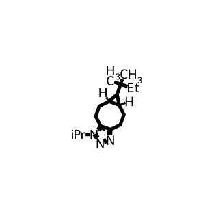 CCC(C)(C)C1[C@H]2CCc3c(nnn3C(C)C)CC[C@@H]12